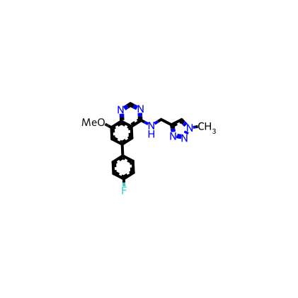 COc1cc(-c2ccc(F)cc2)cc2c(NCc3cn(C)nn3)ncnc12